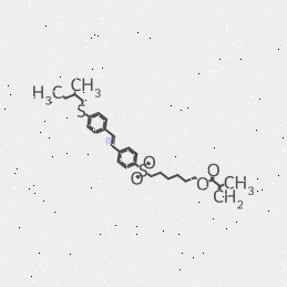 C=C(C)C(=O)OCCCCCCS(=O)(=O)c1ccc(/C=C/c2ccc(SCC(C)CC)cc2)cc1